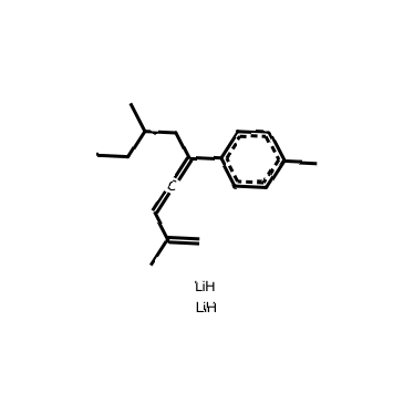 C=C(C)C=C=C(CC(C)CC)c1ccc(C)cc1.[LiH].[LiH]